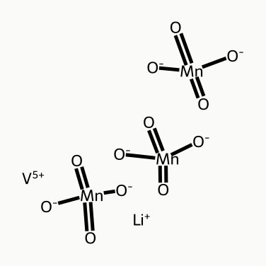 [Li+].[O]=[Mn](=[O])([O-])[O-].[O]=[Mn](=[O])([O-])[O-].[O]=[Mn](=[O])([O-])[O-].[V+5]